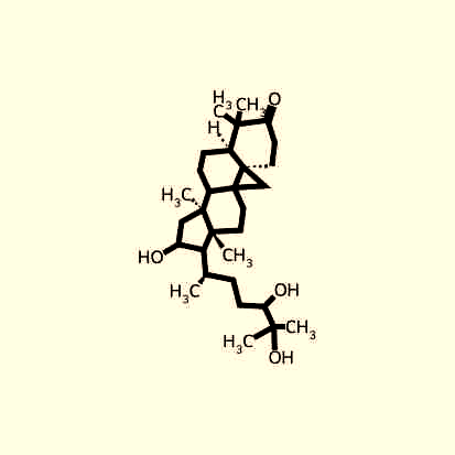 C[C@H](CCC(O)C(C)(C)O)C1C(O)C[C@@]2(C)C3CC[C@H]4C(C)(C)C(=O)CC[C@@]45CC35CC[C@]12C